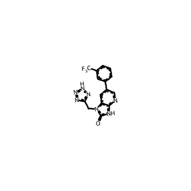 O=c1[nH]c2ncc(-c3cccc(C(F)(F)F)c3)cc2n1Cc1nn[nH]n1